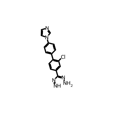 N=N/C(=N\N)c1ccc(-c2ccc(-n3ccnc3)cc2)c(Cl)c1